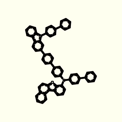 c1ccc(-c2ccc(N(c3ccc(-c4ccc(-c5ccc6c7ccccc7n(-c7ccc(-c8ccccc8)cc7)c6c5)cc4)cc3)c3cccc4c3oc3ccc5ccccc5c34)cc2)cc1